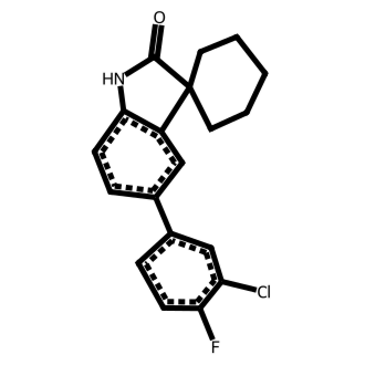 O=C1Nc2ccc(-c3ccc(F)c(Cl)c3)cc2C12CCCCC2